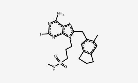 CNS(=O)(=O)CCCn1c(Cc2cc3c(cc2C)CCC3)nc2c(N)nc(F)nc21